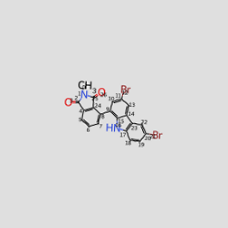 CN1C(=O)c2cccc(-c3cc(Br)cc4c3[nH]c3ccc(Br)cc34)c2C1=O